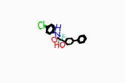 O=C(Nc1ccc(Cl)cc1)C(F)(F)C1(O)CCC(c2ccccc2)CC1